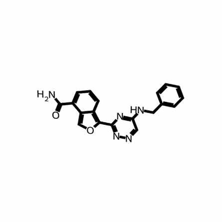 NC(=O)c1cccc2c(-c3nncc(NCc4ccccc4)n3)occ12